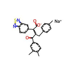 Cc1ccc(CC(C(=O)c2ccc(C)c(C)c2)=C(C(=O)[O-])c2ccc3nsnc3c2)cc1.[Na+]